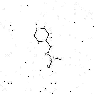 [Cl][Sn]([Cl])[O]CC1CCCCC1